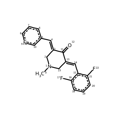 CN1C/C(=C\c2cccnc2)C(=O)/C(=C/c2c(F)cccc2F)C1